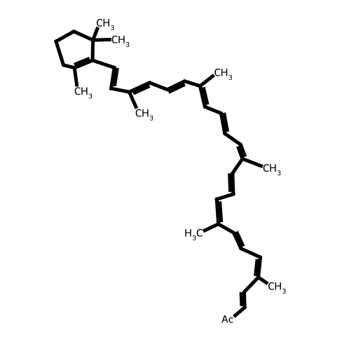 CC(=O)C=CC(C)=CC=CC(C)=CC=CC(C)=CC=CC=C(C)C=CC=C(C)C=CC1=C(C)CCCC1(C)C